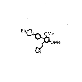 CCN1CCN(c2ccc(-c3c(CCC4=NCC=C4)cc(OC)cc3OC)cc2)CC1